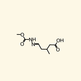 COC(=O)NN=CCC(C)CC(=O)O